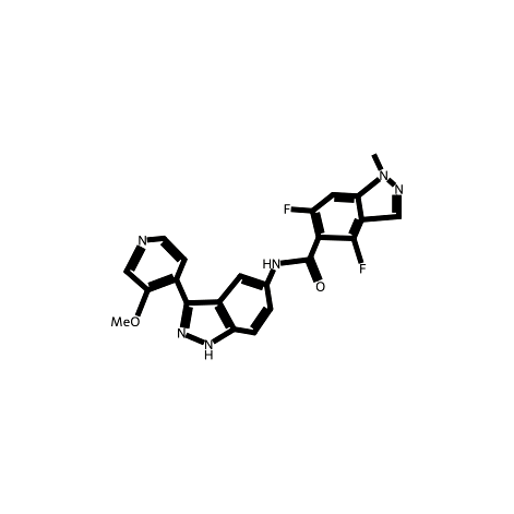 COc1cnccc1-c1n[nH]c2ccc(NC(=O)c3c(F)cc4c(cnn4C)c3F)cc12